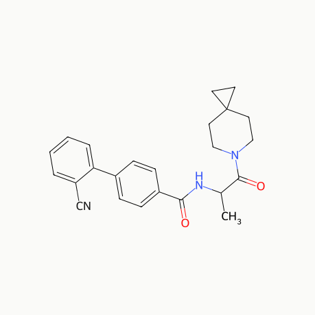 CC(NC(=O)c1ccc(-c2ccccc2C#N)cc1)C(=O)N1CCC2(CC1)CC2